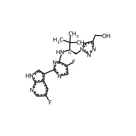 CC(C)(C)[C@@H](Cn1cc(CO)nn1)Nc1nc(-c2c[nH]c3ncc(F)cc23)ncc1F